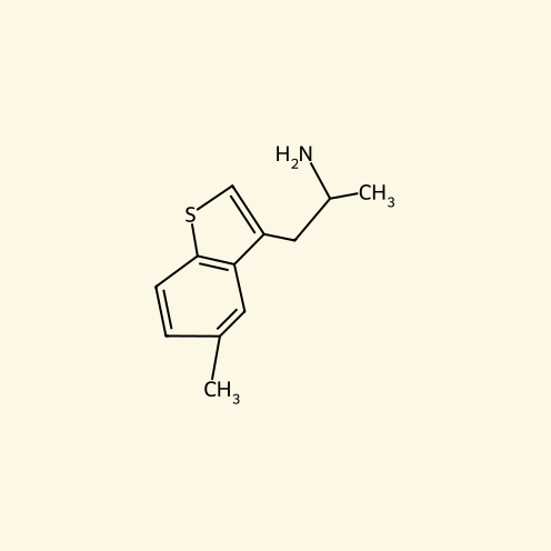 Cc1ccc2scc(CC(C)N)c2c1